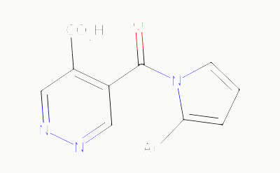 CC(=O)c1cccn1C(=O)c1cnncc1C(=O)O